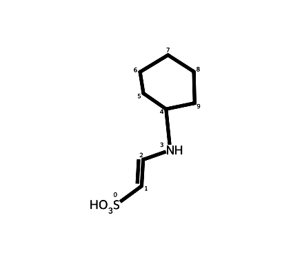 O=S(=O)(O)C=CNC1CCCCC1